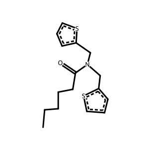 CCCCCC(=O)N(Cc1cccs1)Cc1cccs1